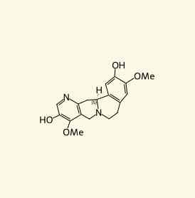 COc1cc2c(cc1O)[C@@H]1Cc3ncc(O)c(OC)c3CN1CC2